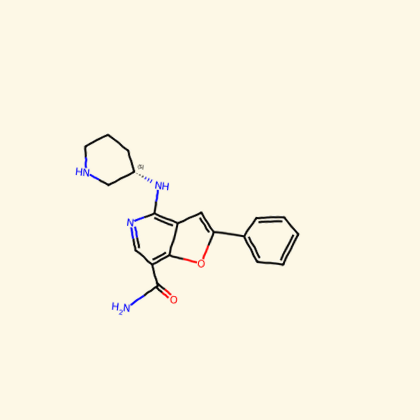 NC(=O)c1cnc(N[C@H]2CCCNC2)c2cc(-c3ccccc3)oc12